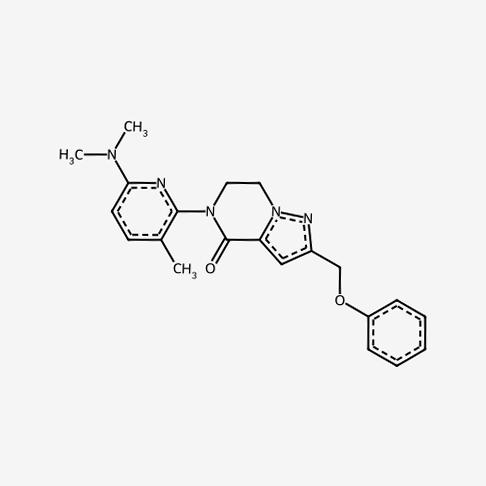 Cc1ccc(N(C)C)nc1N1CCn2nc(COc3ccccc3)cc2C1=O